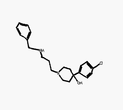 OC1(c2ccc(Cl)cc2)CCN(CCCNCc2ccccc2)CC1